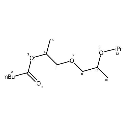 CCCCC(=O)OC(C)COCC(C)OC(C)C